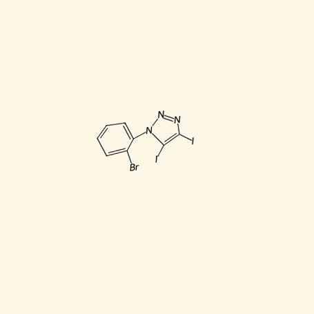 Brc1ccccc1-n1nnc(I)c1I